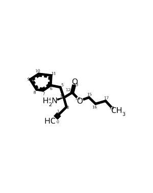 C#CC[C@](N)(Cc1ccccc1)C(=O)OCCCC